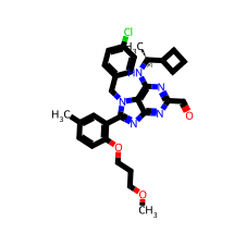 COCCCOc1ccc(C)cc1-c1nc2nc(C=O)nc(N[C@H](C)C3CCC3)c2n1Cc1ccc(Cl)cc1